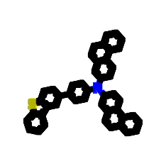 c1ccc2c(c1)ccc1cc(N(c3ccc(-c4ccc5sc6ccccc6c5c4)cc3)c3ccc4c(ccc5ccccc54)c3)ccc12